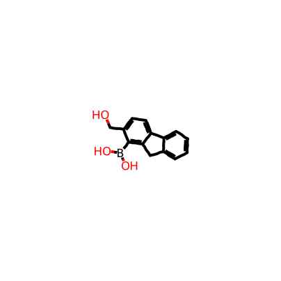 OCc1ccc2c(c1B(O)O)Cc1ccccc1-2